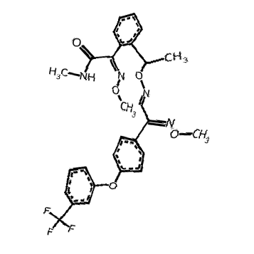 CNC(=O)C(=NOC)c1ccccc1C(C)ON=CC(=NOC)c1ccc(Oc2cccc(C(F)(F)F)c2)cc1